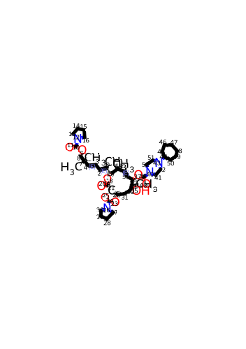 C/C(=C\C=C\C(C)(C)COC(=O)N1CCCC1)[C@H]1OC(=O)C[C@@H](OC(=O)N2CCCC2)CC[C@@](C)(O)C(OC(=O)N2CCN(C3CCCCCC3)CC2)/C=C/[C@@H]1C